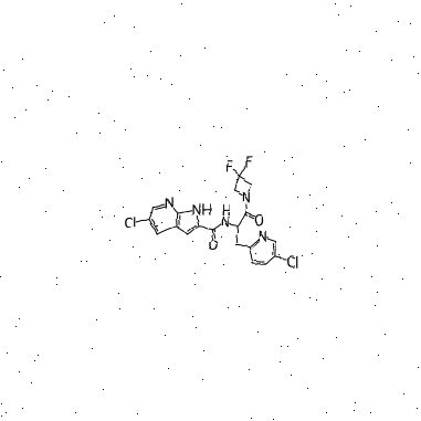 O=C(NC(Cc1ccc(Cl)cn1)C(=O)N1CC(F)(F)C1)c1cc2cc(Cl)cnc2[nH]1